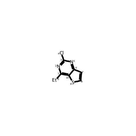 CCc1nc(Cl)nc2ccsc12